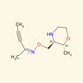 CC#C/C(C)=N\OC[C@H]1NCCO[C@@H]1C